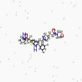 Cc1cc(C)cc(-c2[nH]c3sc(C(C)(C)C(=O)C4C5CCC4NC5)cc3c2CCN2CCC(CCC(=O)N3CCOCC3)CC2)c1